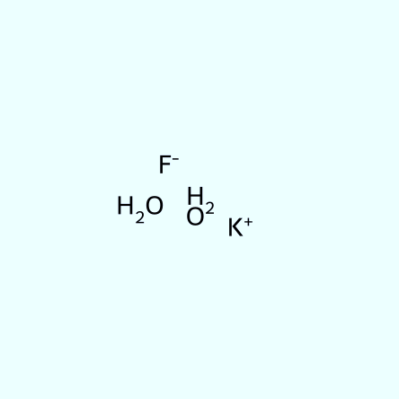 O.O.[F-].[K+]